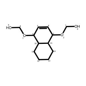 OCOC1C=CC(OCO)C2CCCCC12